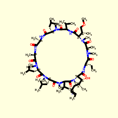 C/C=C/C[C@@H](C)[C@@H](O)[C@H]1C(=O)N[C@@H](CC)C(=O)N(C)[C@H](C)C(=O)N(C)[C@@H]([C@@H](C)COC)C(=O)NC(C(C)C)C(=O)N(C)[C@@H](CC(C)C)C(=O)N[C@@H](C)C(=O)N[C@H](C)C(=O)N(C)[C@@H](CC(C)C)C(=O)N(C)[C@@H](CC(C)C)C(=O)N(C)C(C(C)C)C(=O)N1C